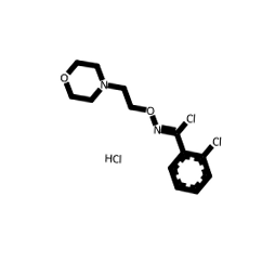 Cl.Cl/C(=N\OCCN1CCOCC1)c1ccccc1Cl